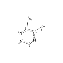 CC(C)c1ncnnc1C(C)C